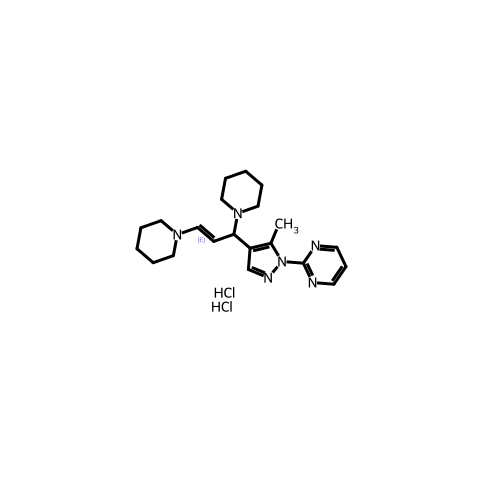 Cc1c(C(/C=C/N2CCCCC2)N2CCCCC2)cnn1-c1ncccn1.Cl.Cl